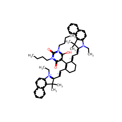 CCCCn1c(O)c(C2=C(/C=C/C3=[N+](CC)c4ccc5ccccc5c4C3(C)C)CCC/C2=C\C=C2\N(CC)c3ccc4ccccc4c3C2(C)C)c(=O)n(CCCC)c1=O